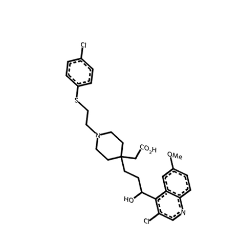 COc1ccc2ncc(Cl)c(C(O)CCC3(CC(=O)O)CCN(CCSc4ccc(Cl)cc4)CC3)c2c1